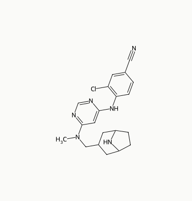 CN(CC1CC2CCC(C1)N2)c1cc(Nc2ccc(C#N)cc2Cl)ncn1